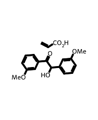 C=CC(=O)O.COc1cccc(C(=O)C(O)c2cccc(OC)c2)c1